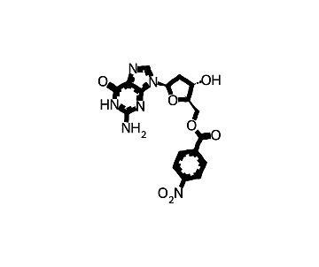 Nc1nc2c(ncn2[C@H]2C[C@H](O)[C@@H](COC(=O)c3ccc([N+](=O)[O-])cc3)O2)c(=O)[nH]1